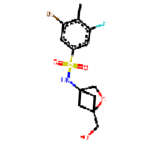 Cc1c(F)cc(S(=O)(=O)NC23COC(CO)(C2)C3)cc1Br